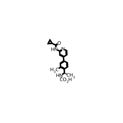 Cc1cc(-c2ccnc(NC(=O)C3CC3)c2)ccc1[C@@H](C)NC(=O)O